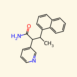 CC(c1cccc2ccccc12)C(C(N)=O)c1cccnc1